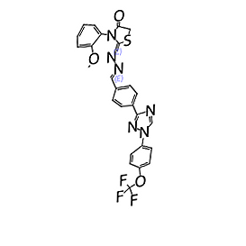 COc1ccccc1N1C(=O)CS/C1=N\N=C\c1ccc(-c2ncn(-c3ccc(OC(F)(F)F)cc3)n2)cc1